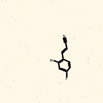 N#CC=Cc1ccc(F)cc1Br